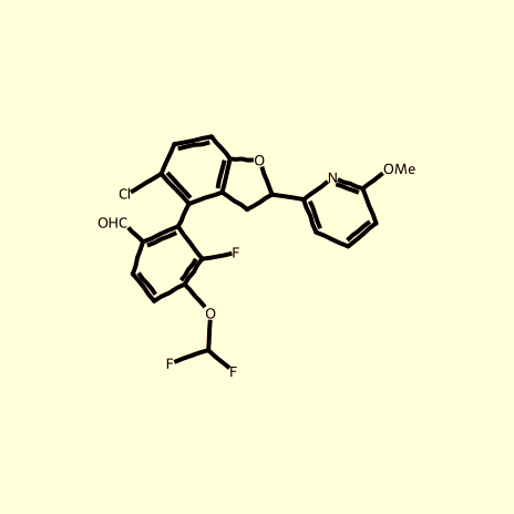 COc1cccc(C2Cc3c(ccc(Cl)c3-c3c(C=O)ccc(OC(F)F)c3F)O2)n1